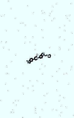 Cn1ncc2cc(-c3ccn(-c4ccc5c(cnn5CCN5CCCC5)c4)c(=O)c3)ccc21